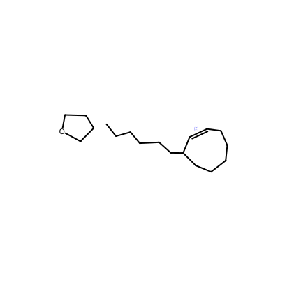 C1CCOC1.CCCCCCC1/C=C\CCCCC1